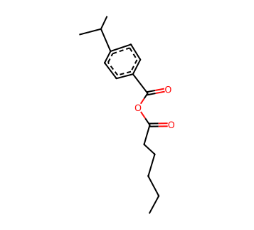 CCCCCC(=O)OC(=O)c1ccc(C(C)C)cc1